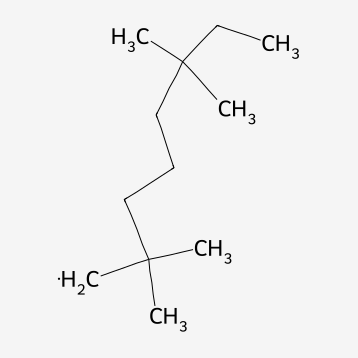 [CH2]C(C)(C)CCCC(C)(C)CC